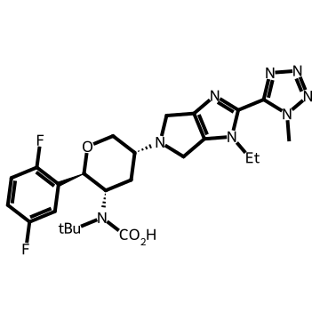 CCn1c(-c2nnnn2C)nc2c1CN([C@H]1CO[C@H](c3cc(F)ccc3F)[C@@H](N(C(=O)O)C(C)(C)C)C1)C2